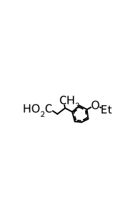 CCOc1cccc(C(C)CC(=O)O)c1